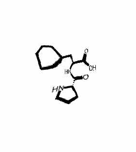 O=C(O)[C@H](CC1CCCCC1)NC(=O)[C@@H]1CCCN1